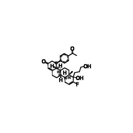 CC(=O)c1ccc([C@@H]2CC(=O)C=C3CC[C@@H]4[C@H](CC[C@@]5(C)[C@H]4CC=C(F)C5(O)CCCO)[C@H]32)cc1